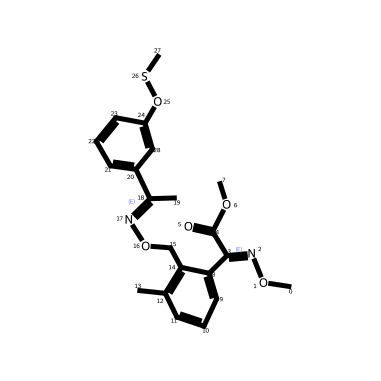 CO/N=C(/C(=O)OC)c1cccc(C)c1CO/N=C(\C)c1cccc(OSC)c1